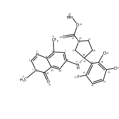 Cn1cnc2c(C(F)(F)F)cc(N[C@@]3(c4c(F)ccc(Cl)c4Cl)CCN(C(=O)OC(C)(C)C)C3)cc2c1=O